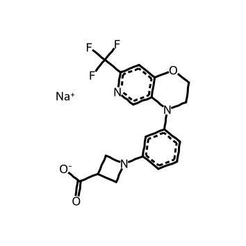 O=C([O-])C1CN(c2cccc(N3CCOc4cc(C(F)(F)F)ncc43)c2)C1.[Na+]